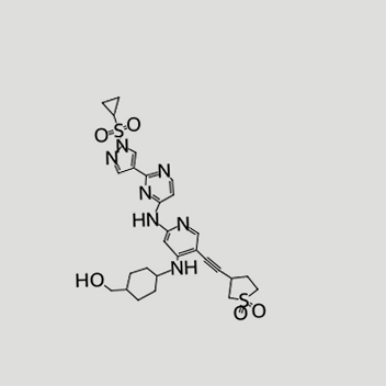 O=S1(=O)CCC(C#Cc2cnc(Nc3ccnc(-c4cnn(S(=O)(=O)C5CC5)c4)n3)cc2NC2CCC(CO)CC2)C1